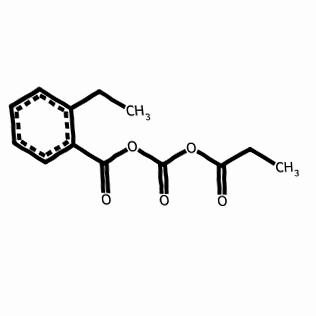 CCC(=O)OC(=O)OC(=O)c1ccccc1CC